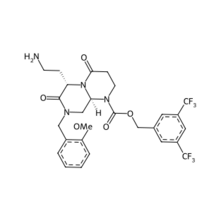 COc1ccccc1CN1C[C@@H]2N(C(=O)OCc3cc(C(F)(F)F)cc(C(F)(F)F)c3)CCC(=O)N2[C@@H](CCN)C1=O